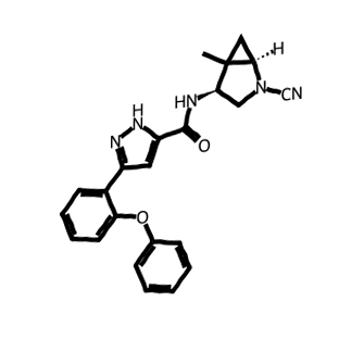 CC12C[C@H]1N(C#N)C[C@H]2NC(=O)c1cc(-c2ccccc2Oc2ccccc2)n[nH]1